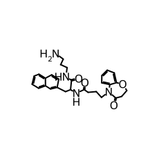 NCCCNC(=O)C(Cc1ccc2ccccc2c1)NC(=O)CCCN1C(=O)CCOc2ccccc21